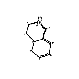 C1=CCC2CCNCC2=C1